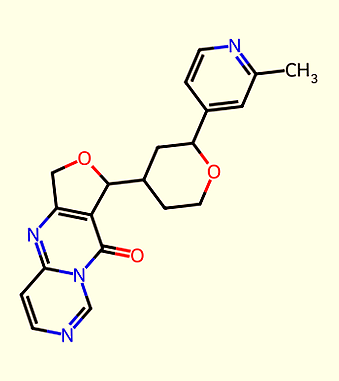 Cc1cc(C2CC(C3OCc4nc5ccncn5c(=O)c43)CCO2)ccn1